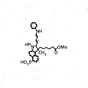 CCC[N+]1=C(/C=C/C=C/Nc2ccccc2)C(C)(CCCCCC(=O)OC)c2c1ccc1c(S(=O)(=O)O)cccc21